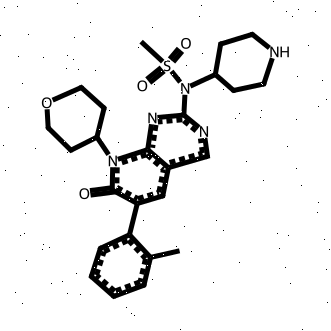 Cc1ccccc1-c1cc2cnc(N(C3CCNCC3)S(C)(=O)=O)nc2n(C2CCOCC2)c1=O